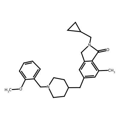 COc1ccccc1CN1CCC(Cc2cc(C)c3c(c2)CN(CC2CC2)C3=O)CC1